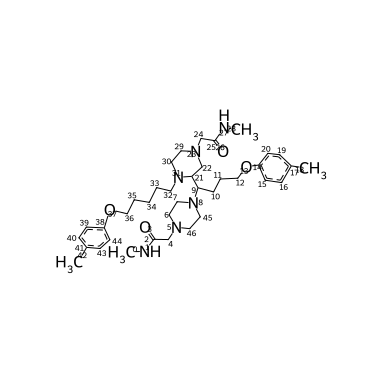 CNC(=O)CN1CCN(C(CCCOc2ccc(C)cc2)C2CN(CC(=O)NC)CCN2CCCCCOc2ccc(C)cc2)CC1